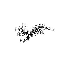 CCCOC(=O)C(C)(C)COS(=O)(=O)N1C(=O)[C@@H](NC(=O)/C(=N/OC(C)(C)C(=O)OC(C)(C)C)c2csc(N)n2)[C@@H]1C